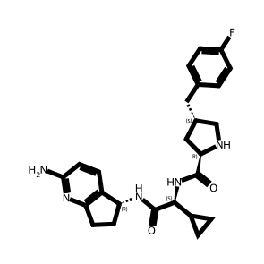 Nc1ccc2c(n1)CC[C@H]2NC(=O)[C@@H](NC(=O)[C@H]1C[C@H](Cc2ccc(F)cc2)CN1)C1CC1